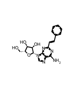 Nc1nc(C=Cc2ccccc2)nc2c1ncn2[C@@H]1O[C@H](CO)[C@@H](O)[C@H]1O